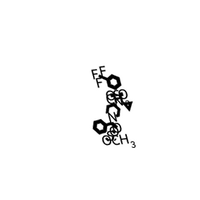 CC1(N(C2CC2)S(=O)(=O)c2cccc(C(F)(F)F)c2)CCN(C(=O)c2ccccc2S(C)(=O)=O)CC1